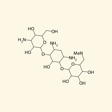 CNCC1OC(OC2C(N)CC(N)C(OC3OC(CO)C(O)C(N)C3O)C2O)C(O)C(O)C1O